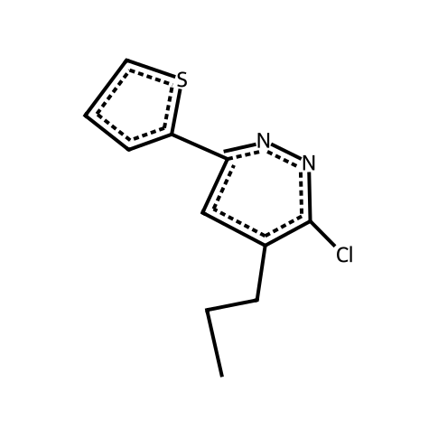 CCCc1cc(-c2cccs2)nnc1Cl